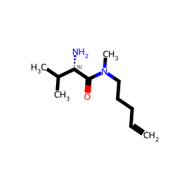 C=CCCCN(C)C(=O)[C@@H](N)C(C)C